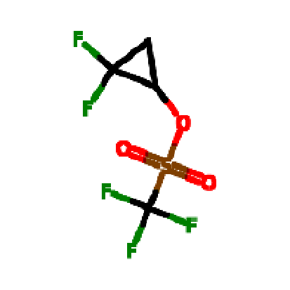 O=S(=O)(OC1CC1(F)F)C(F)(F)F